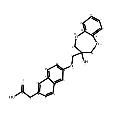 O=C(O)Cc1ccc2cc(OCC3(O)COc4ccccc4OC3)ccc2c1